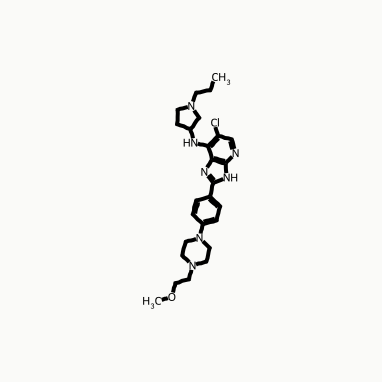 CCCN1CCC(Nc2c(Cl)cnc3[nH]c(-c4ccc(N5CCN(CCOC)CC5)cc4)nc23)C1